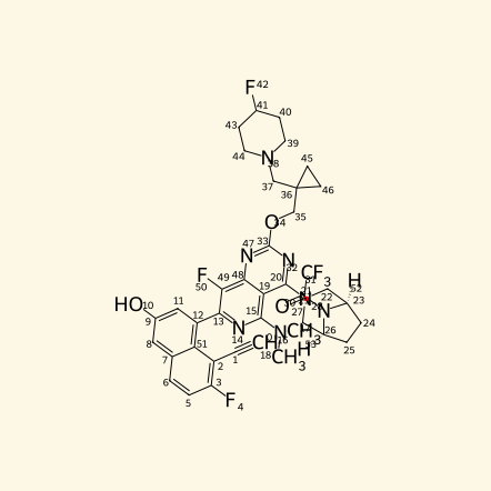 C#Cc1c(F)ccc2cc(O)cc(-c3nc(N(C)C)c4c(N5C[C@H]6CC[C@@H](C5)N6C(=O)C(F)(F)F)nc(OCC5(CN6CCC(F)CC6)CC5)nc4c3F)c12